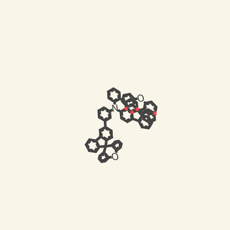 c1ccc(-c2ccc(-c3ccccc3N(c3cccc(-c4ccc5c(c4)-c4ccccc4C54c5ccccc5Oc5ccccc54)c3)c3ccc4c(c3)C3(c5ccccc5Oc5ccccc53)c3ccccc3-4)cc2)cc1